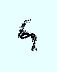 O[C@@H]1CCN(CCC2COc3ccc(-c4ccc5c(c4)OC(CCN4CC[C@@H](O)C4)CO5)cc3O2)C1